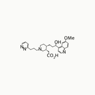 COc1ccc2nccc([C@H](O)CC[C@@H]3CCN(CCCc4cccnn4)C[C@@H]3CC(=O)O)c2c1